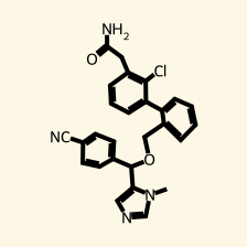 Cn1cncc1C(OCc1ccccc1-c1cccc(CC(N)=O)c1Cl)c1ccc(C#N)cc1